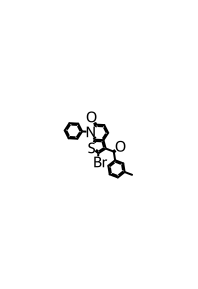 Cc1cccc(C(=O)c2c(Br)sc3c2ccc(=O)n3-c2ccccc2)c1